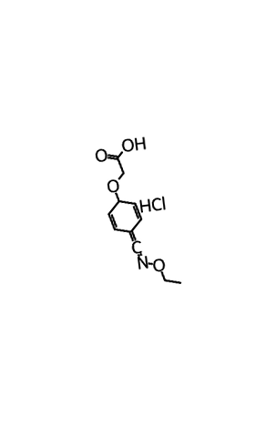 CCON=C=C1C=CC(OCC(=O)O)C=C1.Cl